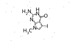 Cn1cc(I)c2c(=O)[nH]c(N)nc21